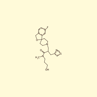 CN(CCCO)C(=O)C(Cc1cscn1)CN1CCC2(CC1)OCc1ccc(F)cc12